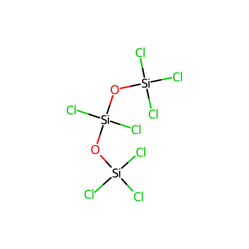 Cl[Si](Cl)(Cl)O[Si](Cl)(Cl)O[Si](Cl)(Cl)Cl